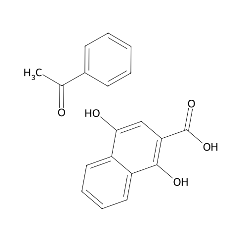 CC(=O)c1ccccc1.O=C(O)c1cc(O)c2ccccc2c1O